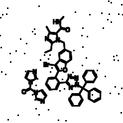 CCc1nc(C)c(C(=O)NC)n1Cc1ccc2oc(-c3ccccc3-c3nnn(C(c4ccccc4)(c4ccccc4)c4ccccc4)n3)c(Br)c2c1.O=C(n1ccnc1)n1ccnc1